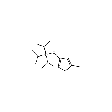 CC1=CC(O[Si](C(C)C)(C(C)C)C(C)C)=[C]C1